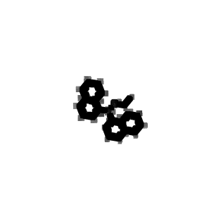 CCOP(c1cccc2ccccc12)c1cccc2ccccc12